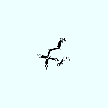 C=CCS(=O)(=O)Cl.CCl